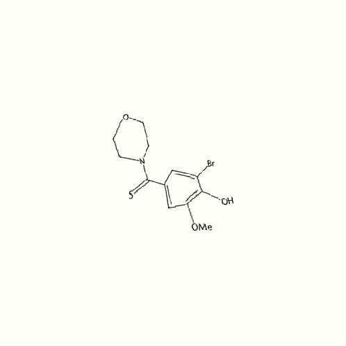 COc1cc(C(=S)N2CCOCC2)cc(Br)c1O